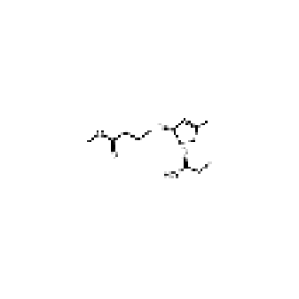 CC1=CC(=O)CC1.CCC(=O)O.CCCC(=O)OC